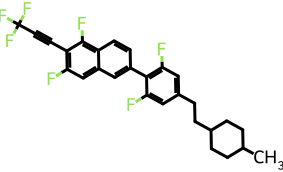 CC1CCC(CCc2cc(F)c(-c3ccc4c(F)c(C#CC(F)(F)F)c(F)cc4c3)c(F)c2)CC1